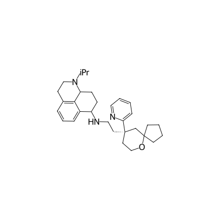 CC(C)N1CCc2cccc3c2C1CCC3NCC[C@@]1(c2ccccn2)CCOC2(CCCC2)C1